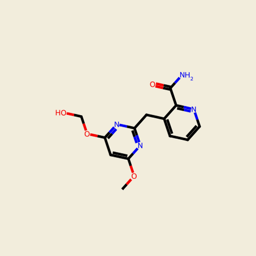 COc1cc(OCO)nc(Cc2cccnc2C(N)=O)n1